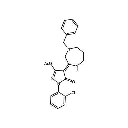 CC(=O)OC1=NN(c2ccccc2Cl)C(=O)C1=C1CN(Cc2ccccc2)CCCN1